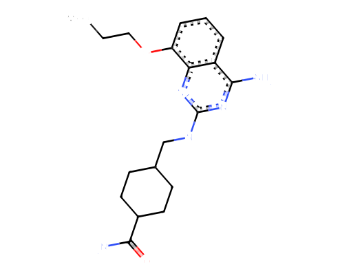 COCCOc1cccc2c(N)nc(NCC3CCC(C(N)=O)CC3)nc12